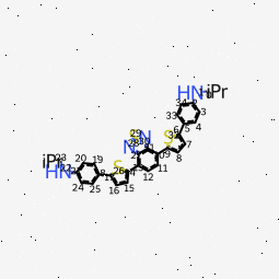 CC(C)Nc1ccc(-c2ccc(-c3ccc(-c4ccc(-c5ccc(NC(C)C)cc5)s4)c4nsnc34)s2)cc1